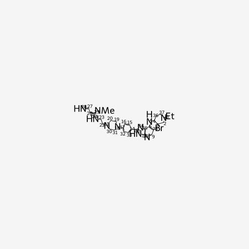 CCN1CCC(Nc2c(Br)cnc3[nH]c(-c4ccc(N5CCN(CCN/C(=C/C=N)NC)CC5)cc4)nc23)CC1